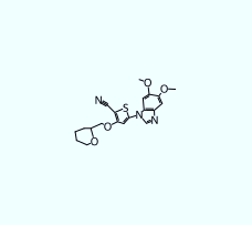 COc1cc2ncn(-c3cc(OCC4CCCCO4)c(C#N)s3)c2cc1OC